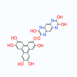 Oc1cc2c3cc(O)c(O)cc3c3cc(OOc4nc5cc6nc(O)c(O)nc6cc5nc4O)c(O)cc3c2cc1O